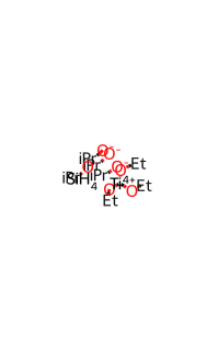 CC(C)[O-].CC(C)[O-].CC(C)[O-].CC(C)[O-].CC[O][Ti+4]([O]CC)[O]CC.[SiH4]